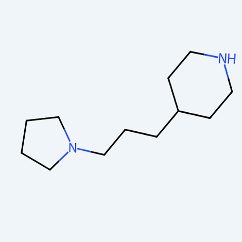 C1CCN(CCCC2CCNCC2)C1